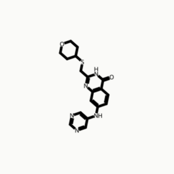 O=c1[nH]c(CSC2CCOCC2)nc2cc(Nc3cncnc3)ccc12